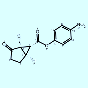 O=C1CC[C@H]2[C@@H]1[C@@H]2C(=O)Oc1ccc([N+](=O)[O-])cc1